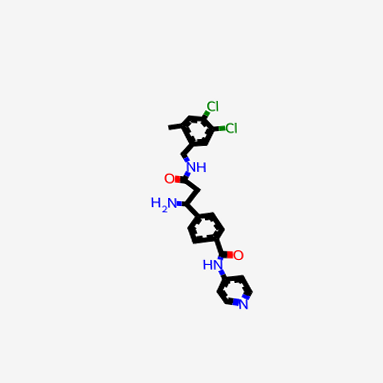 Cc1cc(Cl)c(Cl)cc1CNC(=O)CC(N)c1ccc(C(=O)Nc2ccncc2)cc1